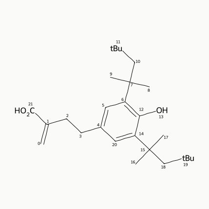 C=C(CCc1cc(C(C)(C)CC(C)(C)C)c(O)c(C(C)(C)CC(C)(C)C)c1)C(=O)O